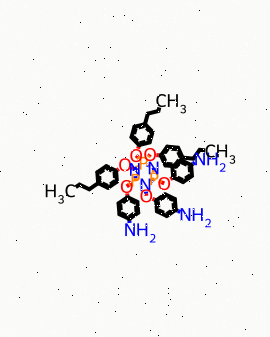 CCCc1ccc(ON2P(Oc3ccc(N)cc3)N(Oc3ccc(N)cc3)P(Oc3ccc(N)cc3)N=P2(Oc2ccc(CCC)cc2)Oc2ccc(CCC)cc2)cc1